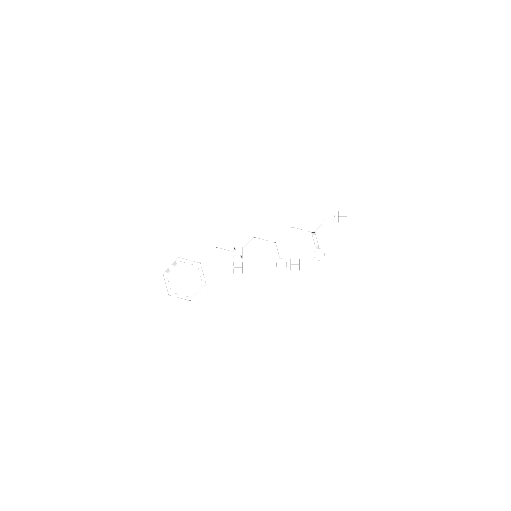 O=C(O)CC(O)CNCc1ccccc1